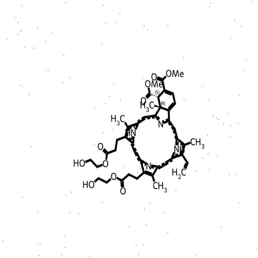 C=Cc1c(C)c2cc3nc(cc4[nH]c(cc5nc(cc1[nH]2)C(C)=C5CCC(=O)OCCO)c(CCC(=O)OCCO)c4C)[C@@]1(C)C3=CC=C(C(=O)OC)[C@H]1C(=O)OC